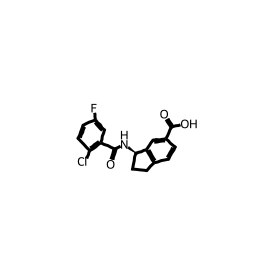 O=C(O)c1ccc2c(c1)[C@H](NC(=O)c1cc(F)ccc1Cl)CC2